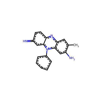 Cc1cc2nc3ccc(=N)cc-3n(-c3ccccc3)c2cc1N